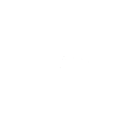 C=CCCOC(=O)CC1CCCC1